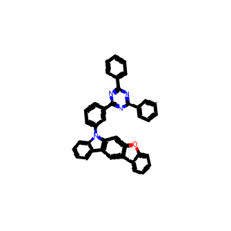 c1ccc(-c2nc(-c3ccccc3)nc(-c3cccc(-n4c5ccccc5c5cc6c(cc54)oc4ccccc46)c3)n2)cc1